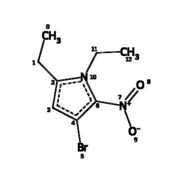 CCc1cc(Br)c([N+](=O)[O-])n1CC